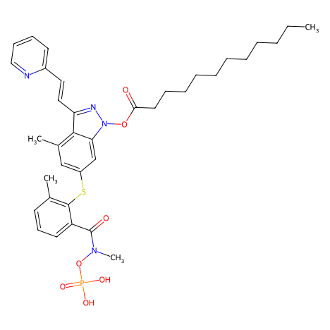 CCCCCCCCCCCC(=O)On1nc(/C=C/c2ccccn2)c2c(C)cc(Sc3c(C)cccc3C(=O)N(C)OP(=O)(O)O)cc21